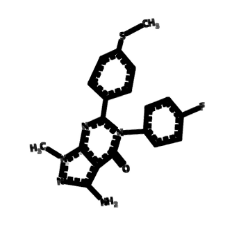 CSc1ccc(-c2nc3c(c(N)nn3C)c(=O)n2-c2ccc(F)cc2)cc1